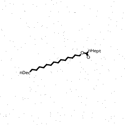 CCCCCCCCCCCCCCCCCCCCCCCCOC(=O)CCCCCCC